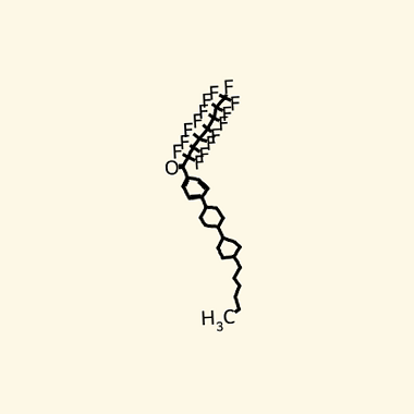 CCCCCCC1CCC(C2CCC(c3ccc(C(=O)C(F)(F)C(F)(F)C(F)(F)C(F)(F)C(F)(F)C(F)(F)C(F)(F)F)cc3)CC2)CC1